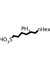 CCCCCCCCCCCCS(=O)(=O)O.P